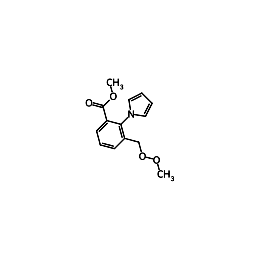 COOCc1cccc(C(=O)OC)c1-n1cccc1